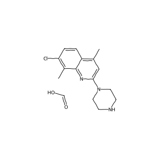 Cc1cc(N2CCNCC2)nc2c(C)c(Cl)ccc12.O=CO